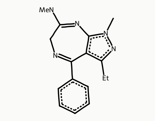 CCc1nn(C)c2c1C(c1ccccc1)=NCC(NC)=N2